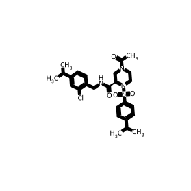 CC(=O)N1CCN(S(=O)(=O)c2ccc(C(C)C)cc2)[C@@H](C(=O)NCc2ccc(C(C)C)cc2Cl)C1